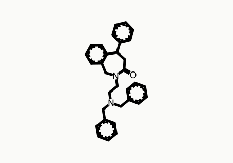 O=C1CC(c2ccccc2)c2ccccc2CN1CCN(Cc1ccccc1)Cc1ccccc1